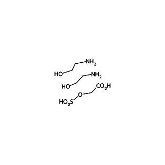 NCCO.NCCO.O=C(O)COS(=O)(=O)O